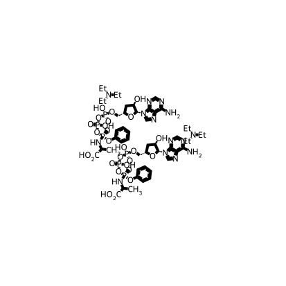 CC(NP(=O)(Oc1ccccc1)OP(=O)(O)OP(=O)(O)OC[C@@H]1C[C@@H](O)[C@H](n2cnc3c(N)ncnc32)O1)C(=O)O.CC(NP(=O)(Oc1ccccc1)OP(=O)(O)OP(=O)(O)OC[C@@H]1C[C@@H](O)[C@H](n2cnc3c(N)ncnc32)O1)C(=O)O.CCN(CC)CC.CCN(CC)CC